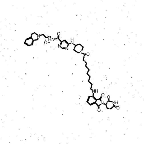 O=C1CCC(N2C(=O)c3cccc(NCCCCCCCCCC(=O)N4CCC(Nc5cc(C(=O)NC[C@H](O)CN6CCc7ccccc7C6)ncn5)CC4)c3C2=O)C(=O)N1